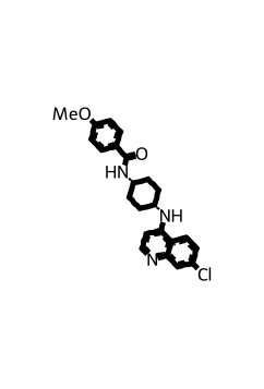 COc1ccc(C(=O)N[C@H]2CC[C@@H](Nc3ccnc4cc(Cl)ccc34)CC2)cc1